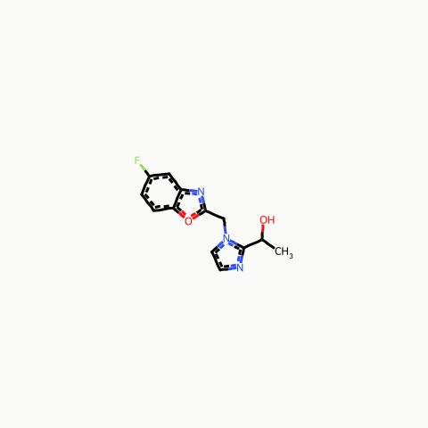 CC(O)c1nccn1Cc1nc2cc(F)ccc2o1